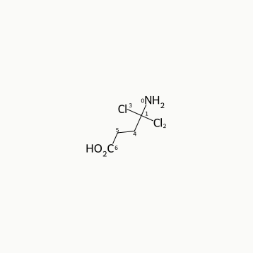 NC(Cl)(Cl)CCC(=O)O